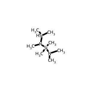 CN(C)[Si](C)(C)N(C)[SiH](C)C